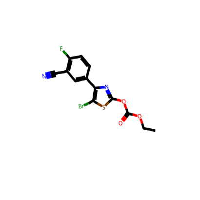 CCOC(=O)Oc1nc(-c2ccc(F)c(C#N)c2)c(Br)s1